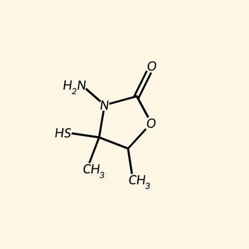 CC1OC(=O)N(N)C1(C)S